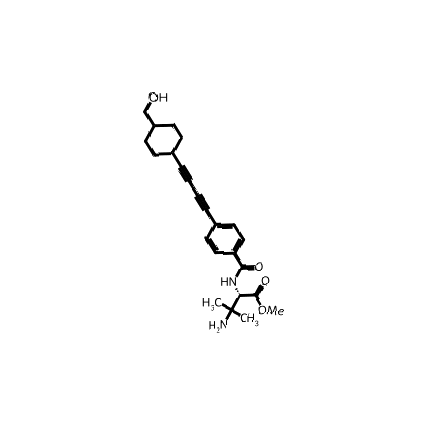 COC(=O)[C@@H](NC(=O)c1ccc(C#CC#CC2CCC(CO)CC2)cc1)C(C)(C)N